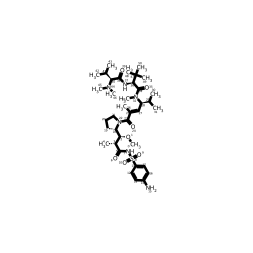 CO[C@H]([C@@H](C)C(=O)NS(=O)(=O)c1ccc(N)cc1)[C@@H]1CCCN1C(=O)/C(C)=C/[C@H](C(C)C)N(C)C(=O)[C@@H](NC(=O)[C@H](C(C)C)N(C)C)C(C)(C)C